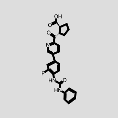 O=C(Nc1ccccc1)Nc1ccc(-c2ccc(C(=O)[C@H]3CCC[C@@H]3C(=O)O)nc2)cc1F